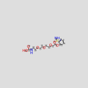 N[S+]([O-])c1ccccc1OCCOCCOCCOCCNC(=O)O